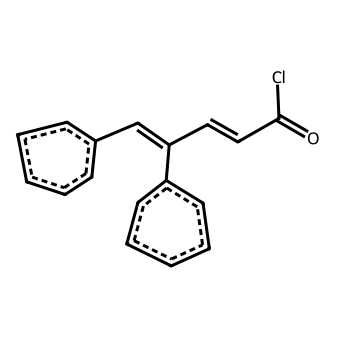 O=C(Cl)C=CC(=Cc1ccccc1)c1ccccc1